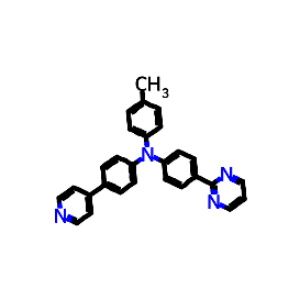 Cc1ccc(N(c2ccc(-c3ccncc3)cc2)c2ccc(-c3ncccn3)cc2)cc1